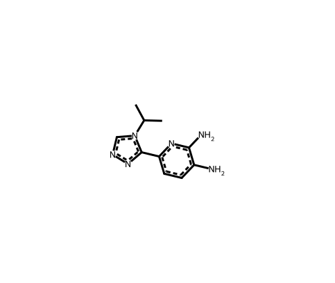 CC(C)n1cnnc1-c1ccc(N)c(N)n1